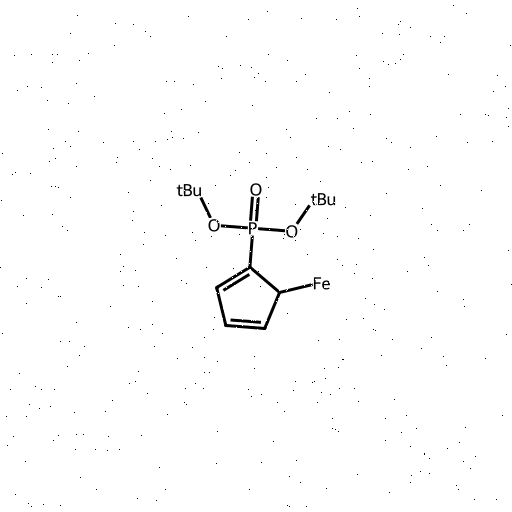 CC(C)(C)OP(=O)(OC(C)(C)C)C1=CC=C[CH]1[Fe]